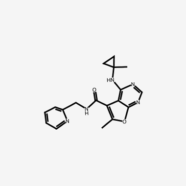 Cc1oc2ncnc(NC3(C)CC3)c2c1C(=O)NCc1ccccn1